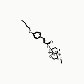 CCCCOc1ccc(/C=C/C(=O)O[C@@H]2CO[C@H]3[C@@H]2OC[C@H]3OC)cc1